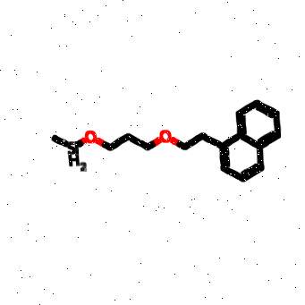 C[SiH2]OCCCOCCc1cccc2ccccc12